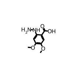 COc1cc(NN)c(C(=O)O)cc1OC